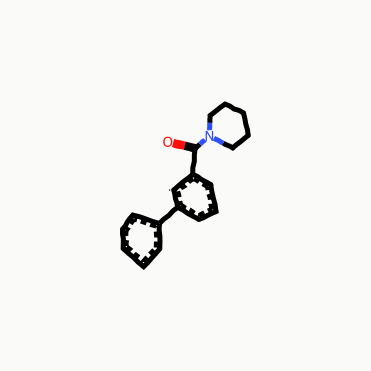 O=C(c1[c]c(-c2ccccc2)ccc1)N1CCCCC1